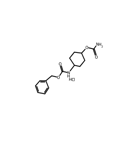 Cl.NC(=O)OC1CCC(NC(=O)OCc2ccccc2)CC1